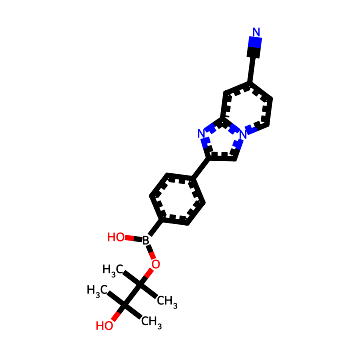 CC(C)(O)C(C)(C)OB(O)c1ccc(-c2cn3ccc(C#N)cc3n2)cc1